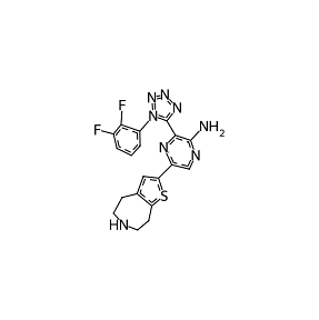 Nc1ncc(-c2cc3c(s2)CCNCC3)nc1-c1nnnn1-c1cccc(F)c1F